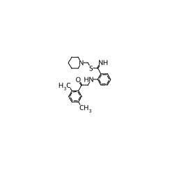 Cc1ccc(C)c(C(=O)CNc2ccccc2C(=N)SCN2CCCCC2)c1